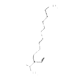 [CH2]C(O)C(C=O)CCCCCCCCCC